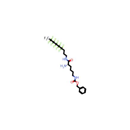 N[C@@H](CCCCNC(=O)OCc1ccccc1)C(=O)NCCCC(F)(F)C(F)(F)C(F)(F)C(F)(F)C(F)(F)C(F)(F)F